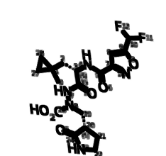 CC1(C[C@H](NC(=O)c2cc(C(F)F)on2)C(=O)NN(C[C@@H]2CCNC2=O)C(=O)O)CC1